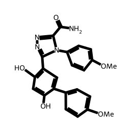 COc1ccc(-c2cc(-c3nnc(C(N)=O)n3-c3ccc(OC)cc3)c(O)cc2O)cc1